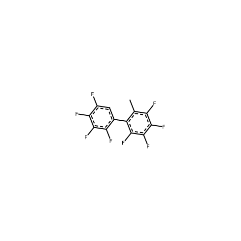 Cc1c(F)c(F)c(F)c(F)c1-c1cc(F)c(F)c(F)c1F